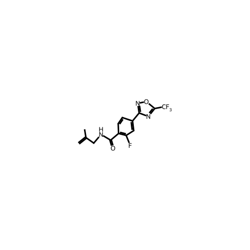 C=C(C)CNC(=O)c1ccc(-c2noc(C(F)(F)F)n2)cc1F